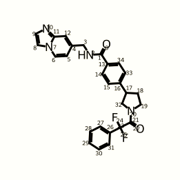 O=C(NCc1ccn2ccnc2c1)c1ccc(C2CCN(C(=O)C(F)(F)c3ccccc3)C2)cc1